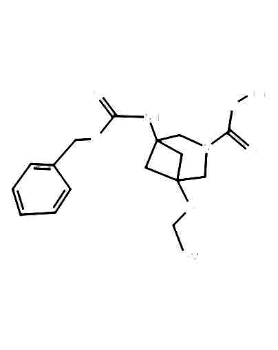 COCOC12CN(C(=O)OC(C)(C)C)CC(NC(=O)OCc3ccccc3)(C1)C2